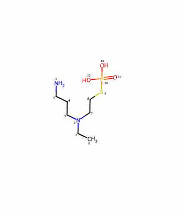 CCN(CCCN)CCSP(=O)(O)O